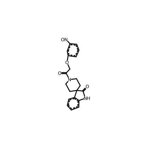 O=Nc1cccc(OCC(=O)N2CCC3(CC2)C(=O)Nc2ccccc23)c1